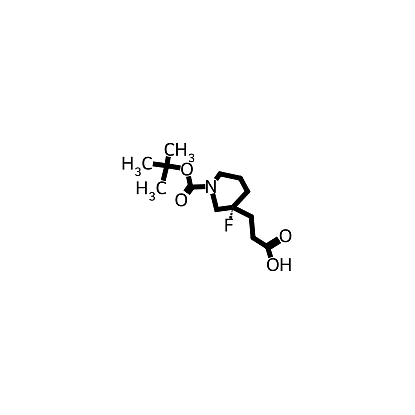 CC(C)(C)OC(=O)N1CCC[C@@](F)(CCC(=O)O)C1